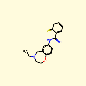 CCN1CCOc2ccc(NC(=N)C3=CC=CCC3=S)cc2C1